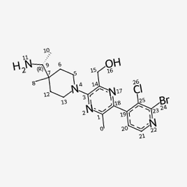 Cc1nc(N2CCC(C)([C@@H](C)N)CC2)c(CO)nc1-c1ccnc(Br)c1Cl